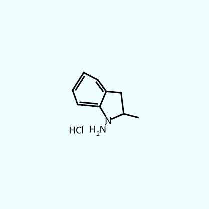 CC1Cc2ccccc2N1N.Cl